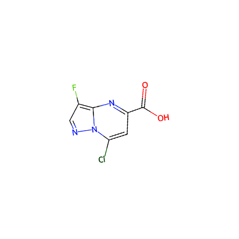 O=C(O)c1cc(Cl)n2ncc(F)c2n1